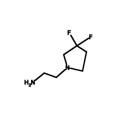 NCCN1CCC(F)(F)C1